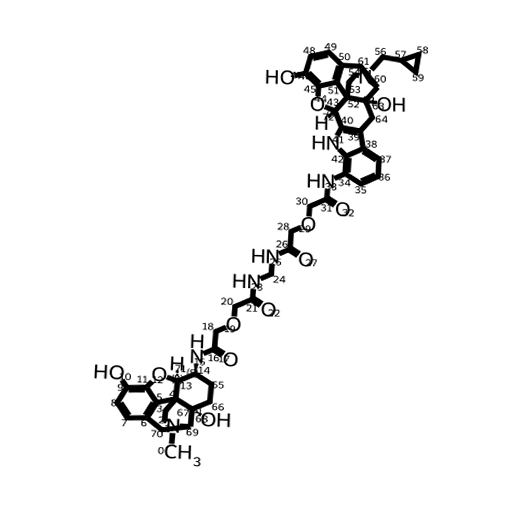 CN1CCC23c4c5ccc(O)c4O[C@H]2[C@@H](NC(=O)COCC(=O)NCNC(=O)COCC(=O)Nc2cccc4c6c([nH]c24)[C@@H]2Oc4c(O)ccc7c4C24CCN(CC2CC2)C(C7)[C@]4(O)C6)CC[C@@]3(O)C1C5